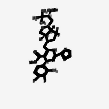 COC(=O)C1=C(CN2CC(F)(F)[C@H]3[C@@H]2CON3C[C@@H](OC)C(C)(C)C(=O)O)NC(c2nccs2)=N[C@H]1c1ccc(F)c(F)c1C